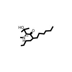 CCCCCCC(CCCC)C(=O)[C@@H](NC)C(C)(C)O